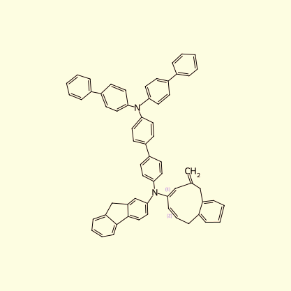 C=C1/C=C(N(c2ccc(-c3ccc(N(c4ccc(-c5ccccc5)cc4)c4ccc(-c5ccccc5)cc4)cc3)cc2)c2ccc3c(c2)Cc2ccccc2-3)\C=C/Cc2ccccc2C1